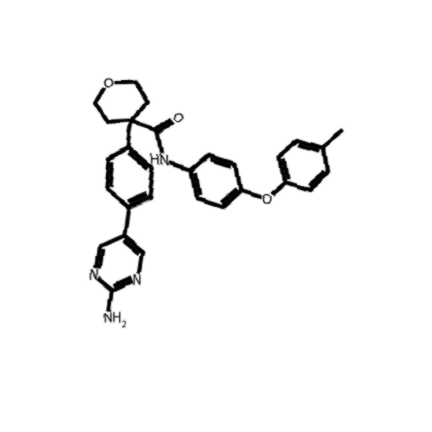 Cc1ccc(Oc2ccc(NC(=O)C3(c4ccc(-c5cnc(N)nc5)cc4)CCOCC3)cc2)cc1